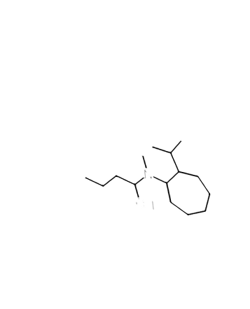 CCCC(O)N(C)C1CCCCCC1C(C)C